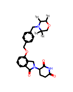 [2H]C1OCC([2H])([2H])N(Cc2ccc(COc3cccc4c3CN(C3CCC(=O)NC3=O)C4=O)cc2)C1[2H]